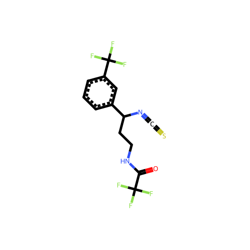 O=C(NCCC(N=C=S)c1cccc(C(F)(F)F)c1)C(F)(F)F